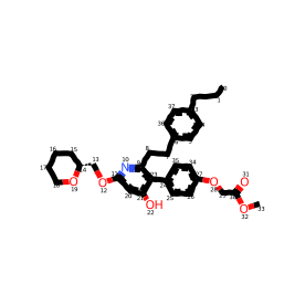 CCCc1ccc(CCc2nc(OC[C@H]3CCCCO3)cc(O)c2-c2ccc(OCC(=O)OC)cc2)cc1